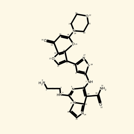 NCCNc1nc(Nc2cc(-c3coc4c(=O)cc(N5CCOCC5)oc34)ns2)c(C(N)=O)c2nccn12